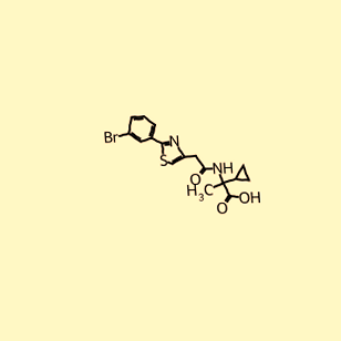 CC(NC(=O)Cc1csc(-c2cccc(Br)c2)n1)(C(=O)O)C1CC1